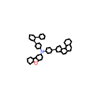 c1ccc(-c2ccccc2-c2ccc(N(c3ccc(-c4ccc5c(ccc6ccc7ccccc7c65)c4)cc3)c3ccc4oc5ccccc5c4c3)cc2)cc1